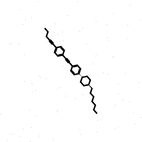 CCCC#Cc1ccc(C#Cc2ccc([C@H]3CC[C@H](CCCCCCC)CC3)cc2)cc1